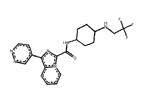 O=C(NC1CCC(NCC(F)(F)F)CC1)c1nc(-c2ccnnc2)c2ccccn12